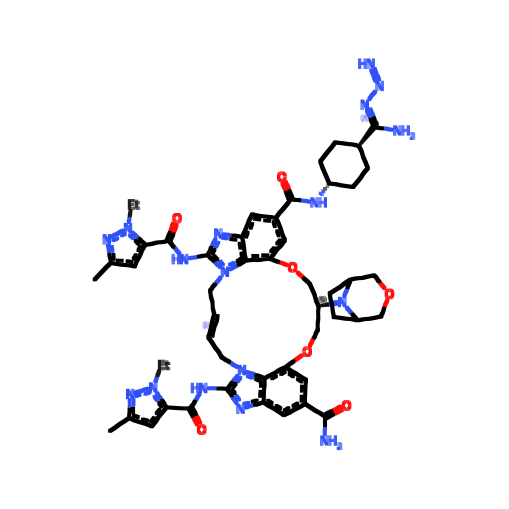 CCn1nc(C)cc1C(=O)Nc1nc2cc(C(N)=O)cc3c2n1C/C=C/Cn1c(NC(=O)c2cc(C)nn2CC)nc2cc(C(=O)N[C@H]4CC[C@H](/C(N)=N/N=N)CC4)cc(c21)OC[C@@H](N1C2CCC1COC2)CO3